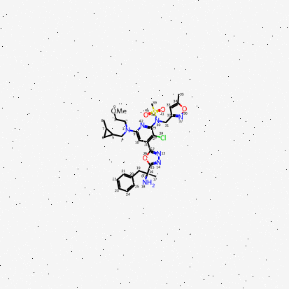 COCCN(CC1CC1C)c1cc(-c2nnc([C@](C)(N)Cc3ccccc3)o2)c(Cl)c(N(Cc2cc(C)on2)S(C)(=O)=O)n1